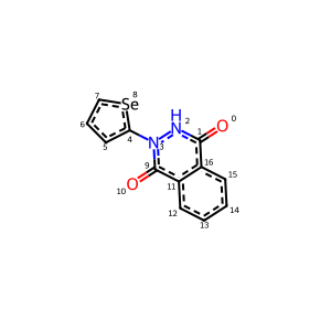 O=c1[nH]n(-c2ccc[se]2)c(=O)c2ccccc12